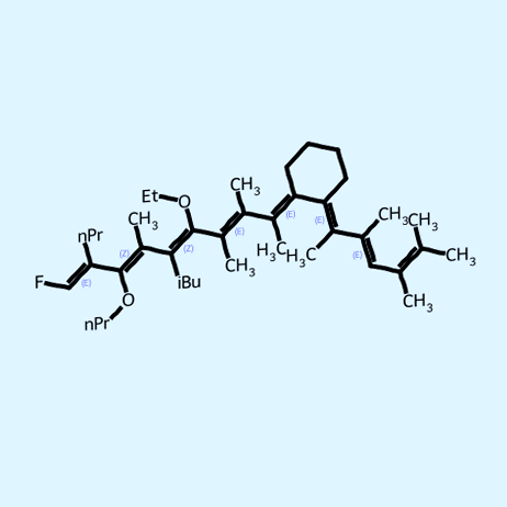 CCCOC(=C(C)\C(=C(OCC)\C(C)=C(C)\C(C)=C1/CCCC/C1=C(C)\C(C)=C\C(C)=C(C)C)C(C)CC)/C(=C/F)CCC